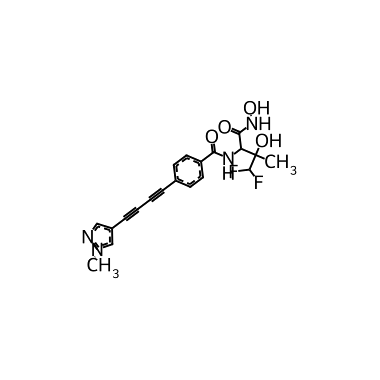 Cn1cc(C#CC#Cc2ccc(C(=O)NC(C(=O)NO)C(C)(O)C(F)F)cc2)cn1